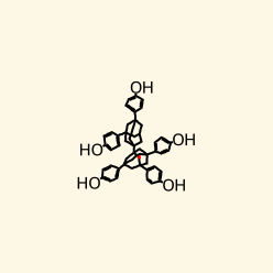 Oc1ccc(C23CC4CC(c5ccc(O)cc5)(C2)CC(C25CC6(c7ccc(O)cc7)CC(c7ccc(O)cc7)(CC(c7ccc(O)cc7)(C6)C2)C5)(C4)C3)cc1